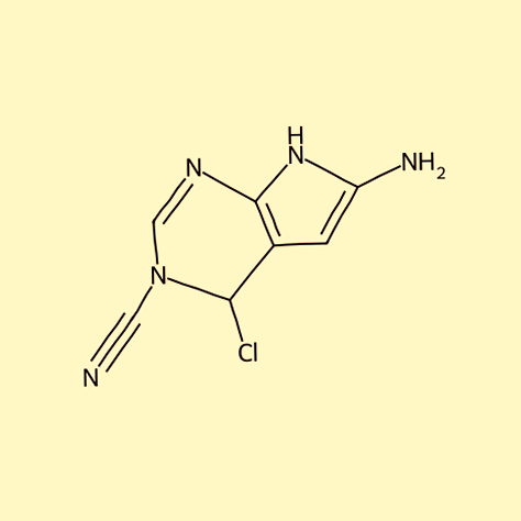 N#CN1C=Nc2[nH]c(N)cc2C1Cl